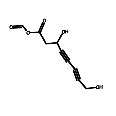 O=COC(=O)CC(O)C#CC#CCO